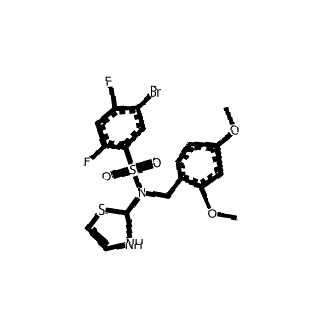 COc1ccc(CN(C2NC=CS2)S(=O)(=O)c2cc(Br)c(F)cc2F)c(OC)c1